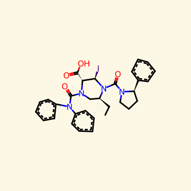 CC[C@H]1CN(C(=O)N(c2ccccc2)c2ccccc2)[C@H](C(=O)O)[C@@H](I)N1C(=O)N1CCC[C@@H]1c1ccccc1